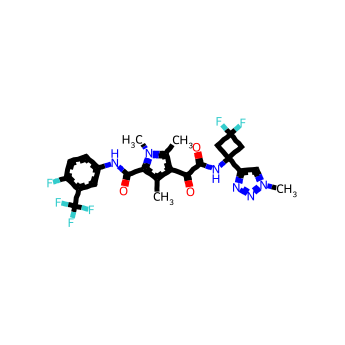 Cc1c(C(=O)C(=O)NC2(c3cn(C)nn3)CC(F)(F)C2)c(C)n(C)c1C(=O)Nc1ccc(F)c(C(F)(F)F)c1